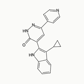 O=c1[nH]nc(-c2ccncc2)cc1-c1[nH]c2ccccc2c1C1CC1